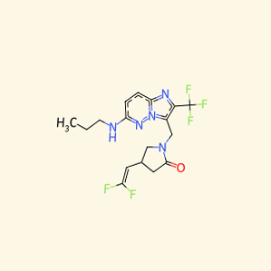 CCCNc1ccc2nc(C(F)(F)F)c(CN3CC(C=C(F)F)CC3=O)n2n1